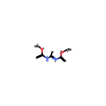 C=C(/N=C(\C)NC(=C)OCCCC)OCCCC